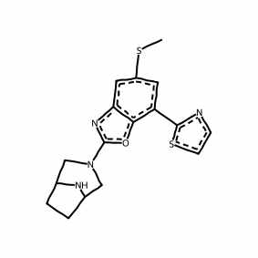 CSc1cc(-c2nccs2)c2oc(N3CC4CCC(C3)N4)nc2c1